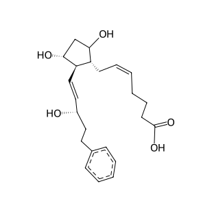 O=C(O)CCC/C=C\C[C@H]1C(O)C[C@@H](O)[C@@H]1/C=C/[C@@H](O)CCc1ccccc1